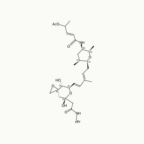 CCCNC(=O)C[C@]1(O)C[C@@]2(CO2)[C@H](O)[C@@H](C=CC(C)=CC[C@@H]2O[C@H](C)[C@H](NC(=O)C=CC(C)OC(C)=O)C[C@@H]2C)O1